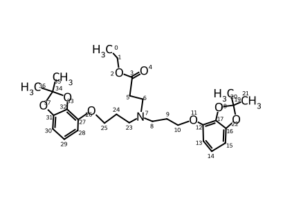 CCOC(=O)CCN(CCCOc1cccc2c1OC(C)(C)O2)CCCOc1cccc2c1OC(C)(C)O2